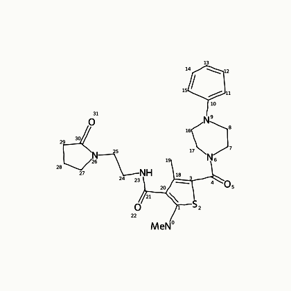 CNc1sc(C(=O)N2CCN(c3ccccc3)CC2)c(C)c1C(=O)NCCN1CCCC1=O